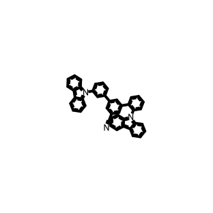 N#Cc1cc(-c2cccc(-n3c4ccccc4c4ccccc43)c2)cc(-c2ccccc2-n2c3ccccc3c3ccccc32)c1